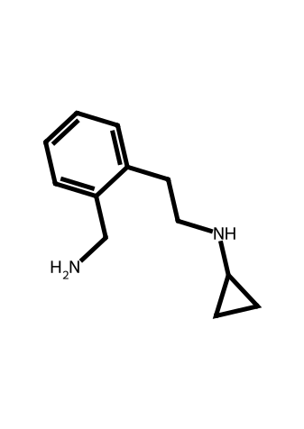 NCc1ccccc1CCNC1CC1